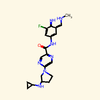 CN/C=C1/C=C(NC(=O)c2cnc(N3CCC(NC4CC4)C3)cn2)C=C(F)C1=N